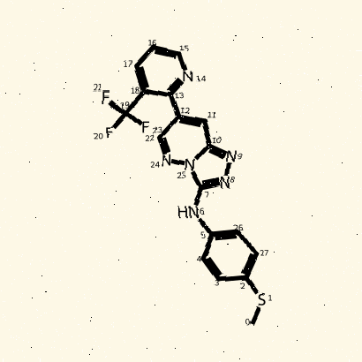 CSc1ccc(Nc2nnc3cc(-c4ncccc4C(F)(F)F)cnn23)cc1